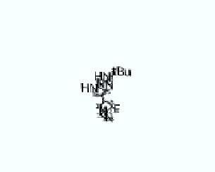 CC(C)(C)CNc1ncc2c(-c3cc(F)c4nccn4c3)c[nH]c2n1